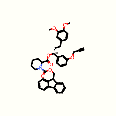 C#CCOc1cccc([C@@H](CCc2ccc(OC)c(OC)c2)OC(=O)C2CCCCN2C(=O)OCC2c3ccccc3-c3ccccc32)c1